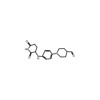 O=CC1CCN(c2ccc(NC3CCC(=O)NC3=O)cc2)CC1